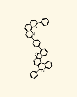 c1ccc(-c2ccc3ccc4ccc(-c5ccc(-c6cccc7c6oc6ccc8c(-c9ccccc9)nc9ccccc9c8c67)cc5)nc4c3n2)cc1